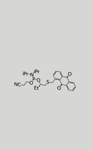 CC[C@H](CSCc1cccc2c1C(=O)c1ccccc1C2=O)OP(OCCC#N)N(C(C)C)C(C)C